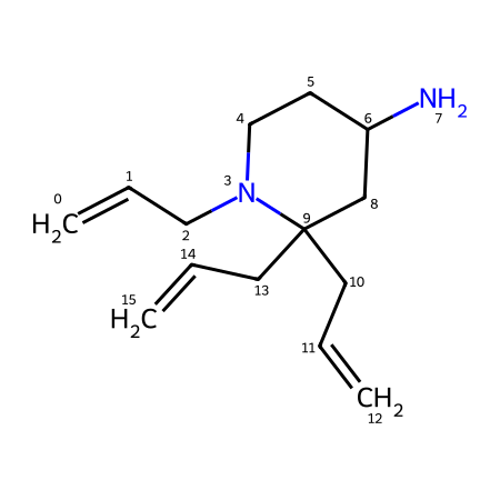 C=CCN1CCC(N)CC1(CC=C)CC=C